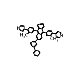 Cc1cc(-c2c3ccccc3c(-c3ccc(-c4ccncc4)c(C)c3)c3cc(-c4cccc(-c5ccccc5)c4)ccc23)ccc1-c1ccncc1